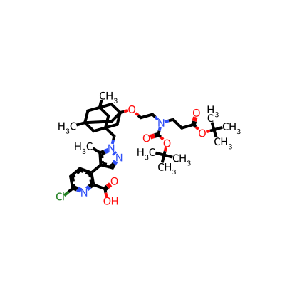 Cc1c(-c2ccc(Cl)nc2C(=O)O)cnn1CC12CC3(C)CC(C)(C1)CC(OCCN(CCC(=O)OC(C)(C)C)C(=O)OC(C)(C)C)(C3)C2